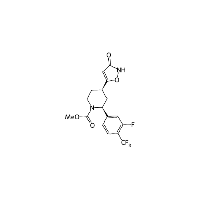 COC(=O)N1CC[C@@H](c2cc(=O)[nH]o2)C[C@H]1c1ccc(C(F)(F)F)c(F)c1